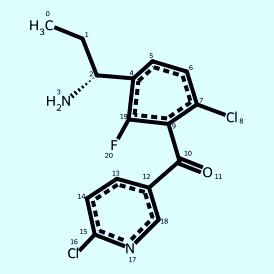 CC[C@@H](N)c1ccc(Cl)c(C(=O)c2ccc(Cl)nc2)c1F